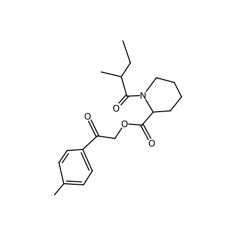 CCC(C)C(=O)N1CCCCC1C(=O)OCC(=O)c1ccc(C)cc1